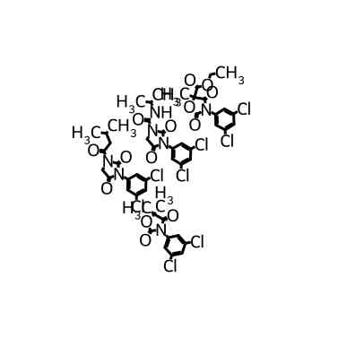 CC(C)CC(=O)N1CC(=O)N(c2cc(Cl)cc(Cl)c2)C1=O.CC(C)NC(=O)N1CC(=O)N(c2cc(Cl)cc(Cl)c2)C1=O.CC1(C)OC(=O)N(c2cc(Cl)cc(Cl)c2)C1=O.CCOC(=O)C1(C)OC(=O)N(c2cc(Cl)cc(Cl)c2)C1=O